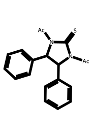 CC(=O)N1C(=S)N(C(C)=O)C(c2ccccc2)C1c1ccccc1